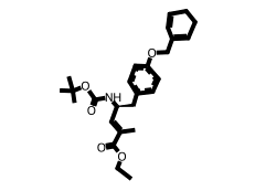 CCOC(=O)/C(C)=C/[C@H](Cc1ccc(OCC2=CCCC=C2)cc1)NC(=O)OC(C)(C)C